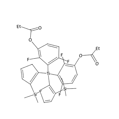 CCC(=O)Oc1ccc(F)[c]([Ti]([C]2=C([Si](C)(C)C)C=CC2)([C]2=C([Si](C)(C)C)C=CC2)[c]2c(F)ccc(OC(=O)CC)c2F)c1F